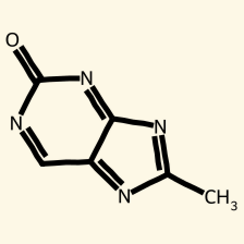 CC1=NC2=NC(=O)N=CC2=N1